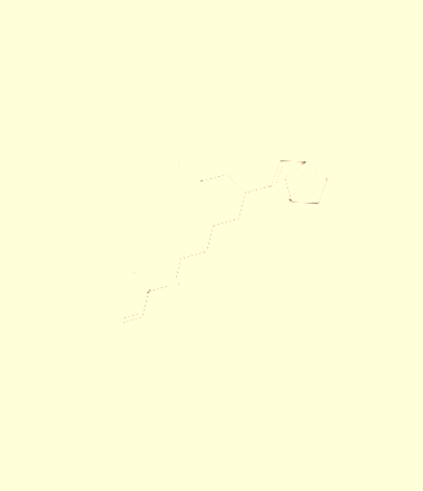 C=CC(=O)OCCCCC(CCC)C1=CC2CCC1C2